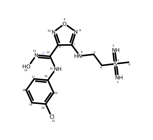 CS(=N)(=N)CCNc1nonc1/C(=N/O)Nc1cccc(Cl)c1